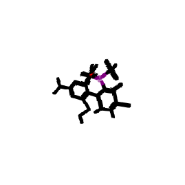 CCCc1cc(C(C)C)cc(C(C)C)c1-c1c(C)c(C)c(C)c(C)c1P(C(C)(C)C)C(C)(C)C